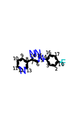 Fc1ccc(-n2cc(-c3cccnc3)nn2)cc1